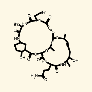 CC(C)CC1NC(=O)COC2CC(C)/C=C/CC(O)C(C)NC(=O)C(CCC(N)=O)NC(=O)C(C)(OC(=O)C3CC(CCC3O)NC(=O)C(C(C)C)NC1=O)OC(C)C2